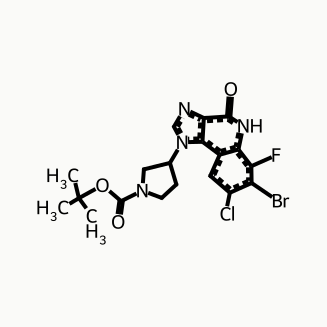 CC(C)(C)OC(=O)N1CCC(n2cnc3c(=O)[nH]c4c(F)c(Br)c(Cl)cc4c32)C1